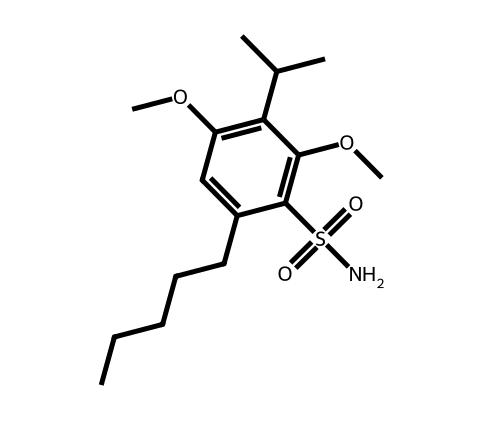 CCCCCc1cc(OC)c(C(C)C)c(OC)c1S(N)(=O)=O